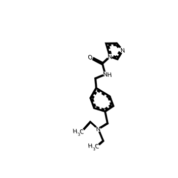 CCN(CC)Cc1ccc(CNC(=O)n2ccnc2)cc1